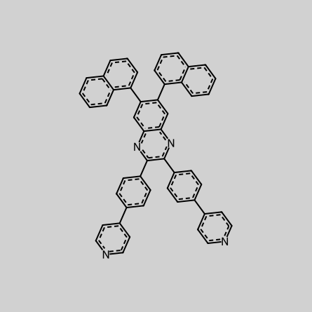 c1ccc2c(-c3cc4nc(-c5ccc(-c6ccncc6)cc5)c(-c5ccc(-c6ccncc6)cc5)nc4cc3-c3cccc4ccccc34)cccc2c1